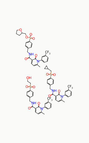 Cc1ccc(C(=O)NCc2ccc(S(=O)(=O)CC3CC3)cc2)c(=O)n1-c1cccc(C(F)(F)F)c1.Cc1ccc(C(=O)NCc2ccc(S(=O)(=O)CCO)cc2)c(=O)n1-c1cccc(C(F)(F)F)c1.Cc1ccc(C(=O)NCc2ccc(S(=O)(=O)OCC3CCCO3)cc2)c(=O)n1-c1cccc(C(F)(F)F)c1